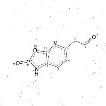 O=CCc1ccc2[nH]c(=O)oc2c1